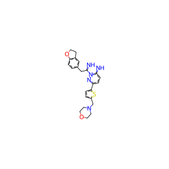 N=C(Cc1ccc2c(c1)CCO2)n1nc(-c2ccc(CN3CCOCC3)s2)ccc1=N